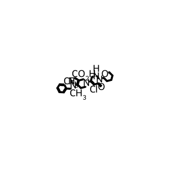 CC(c1ccccc1C(F)(F)F)n1nc(C(=O)O)c2c1CCN(C1=C(Cl)C(=O)N(C3CCCCO3)NC1)C2